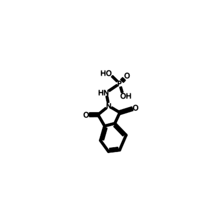 O=C1c2ccccc2C(=O)N1NP(=O)(O)O